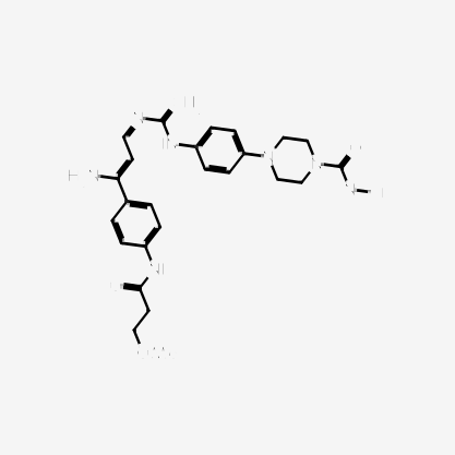 C=C(/N=C\C=C(/N)c1ccc(NC(=O)CCOC)cc1)Nc1ccc(N2CCN(C(=O)NCC)CC2)cc1